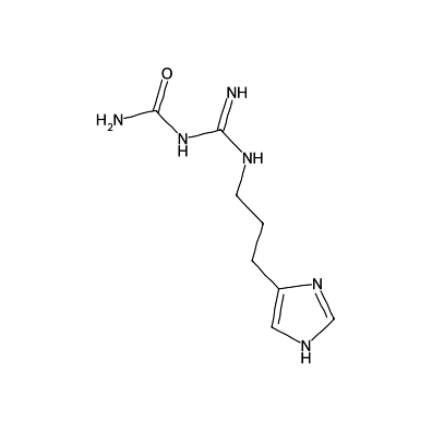 N=C(NCCCc1c[nH]cn1)NC(N)=O